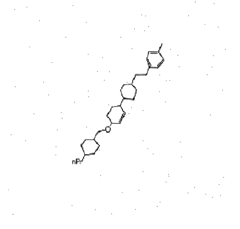 CCCC1CCC(COC2C=CC(C3CCC(CCc4ccc(C)cc4)CC3)CC2)CC1